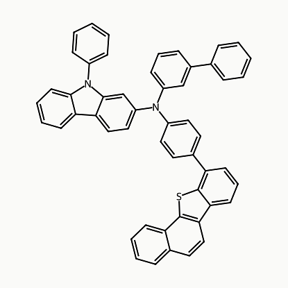 c1ccc(-c2cccc(N(c3ccc(-c4cccc5c4sc4c6ccccc6ccc54)cc3)c3ccc4c5ccccc5n(-c5ccccc5)c4c3)c2)cc1